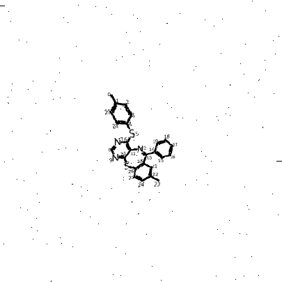 Cc1ccc(Sc2ncnc3c2N=C(c2ccccc2)c2cc(C)ccc2S3)cc1